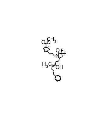 COC(=O)c1ccc(CCCN2C(=O)C(F)(F)CC2C=C[C@@H](O)[C@@H](C)CCCc2ccccc2)s1